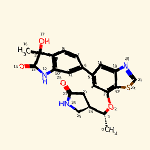 C[C@@H](Oc1cc(-c2ccc3c(c2)NC(=O)C3(C)O)cc2ncsc12)[C@H]1CNC(=O)C1